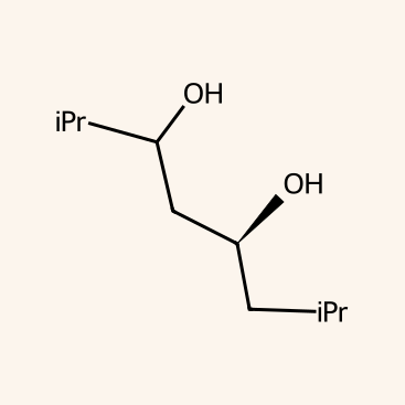 CC(C)C[C@H](O)CC(O)C(C)C